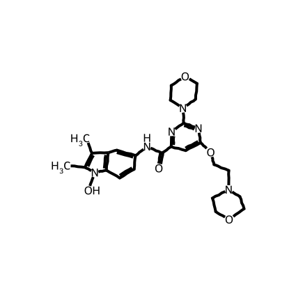 Cc1c(C)n(O)c2ccc(NC(=O)c3cc(OCCN4CCOCC4)nc(N4CCOCC4)n3)cc12